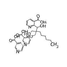 CCCCCCC(CO)(CO)C(O)c1ncccc1C(=O)O.O=C(O)c1cccnc1.O=C(O)c1cccnc1